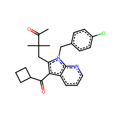 CC(=O)C(C)(C)Cc1c(C(=O)C2CCC2)c2cccnc2n1Cc1ccc(Cl)cc1